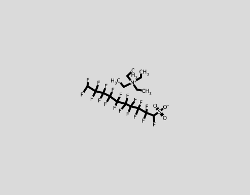 CC[N+](CC)(CC)CC.O=S(=O)([O-])C(F)C(F)(F)C(F)(F)C(F)(F)C(F)(F)C(F)(F)C(F)(F)C(F)(F)C(F)(F)C(F)F